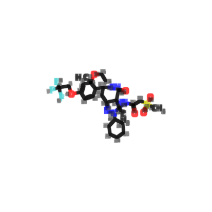 CC12C=C(OCC(F)(F)F)C=CC1[C@]1(CCO2)CC2=NN(C3CCCCC3)C(C)(NC(=O)CS(C)(=O)=O)C2C(=O)N1